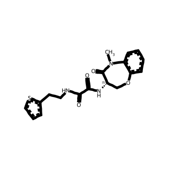 CN1C(=O)[C@@H](NC(=O)C(=O)NCCc2cccs2)COc2ccccc21